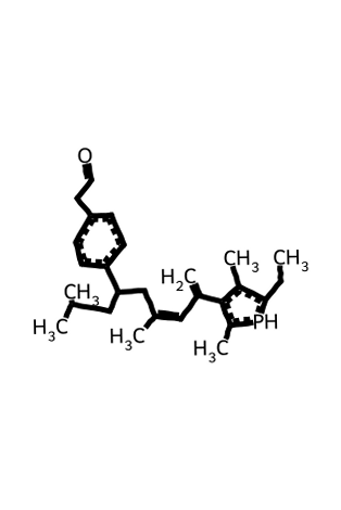 C=C(/C=C(/C)CC(CC(C)C)c1ccc(CC=O)cc1)c1c(C)[pH]c(CC)c1C